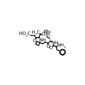 CC(=O)CC[C@H](NC(=O)[C@@H](N)Cc1ccccc1)C(=O)CCC1(N[C@H](C(=O)CCC(=O)O)[C@@H](C)OC(C)(C)C)CCC1